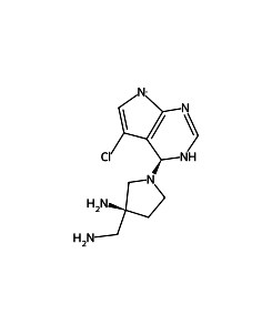 NC[C@@]1(N)CCN([C@@H]2NC=NC3=C2C(Cl)=C[N]3)C1